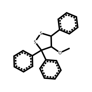 COC1C(c2ccccc2)SSC1(c1ccccc1)c1ccccc1